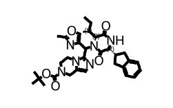 CC[C@H](C)[C@@H]1C(=O)N[C@H](C2Cc3ccccc3C2)C(=O)N1C(c1coc(C)n1)c1ncc2n1CCN(C(=O)OC(C)(C)C)C2